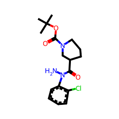 CC(C)(C)OC(=O)N1CCCC(C(=O)N(N)c2ccccc2Cl)C1